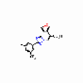 Cc1cc(-c2ncn(/C=C(/C(=O)O)c3ccoc3)n2)cc(C(F)(F)F)c1